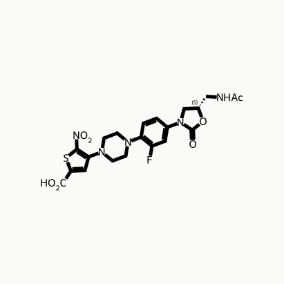 CC(=O)NC[C@H]1CN(c2ccc(N3CCN(c4cc(C(=O)O)sc4[N+](=O)[O-])CC3)c(F)c2)C(=O)O1